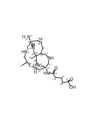 CC1CNC[C@]2(N)CNCC3CNC[C@](NC(=O)CCCC(=O)O)(CNC1)CNCC3(C)CNC2